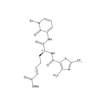 CCn1cccc(NC(=O)[C@H](CC/C=C/C(=O)OC)NC(=O)c2sc(C(F)(F)F)nc2C)c1=O